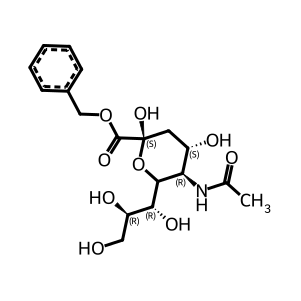 CC(=O)N[C@H]1C([C@H](O)[C@H](O)CO)O[C@](O)(C(=O)OCc2ccccc2)C[C@@H]1O